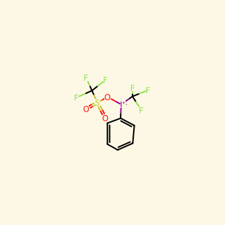 O=S(=O)(O[I+](c1ccccc1)C(F)(F)F)C(F)(F)F